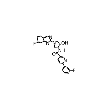 O=C(NC1CN(c2ncc3ccc(F)cc3n2)CC1O)c1ccc(-c2cccc(F)c2)nc1